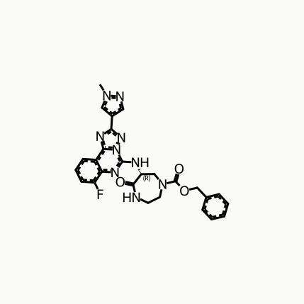 Cn1cc(-c2nc3c4cccc(F)c4nc(N[C@@H]4CN(C(=O)OCc5ccccc5)CCNC4=O)n3n2)cn1